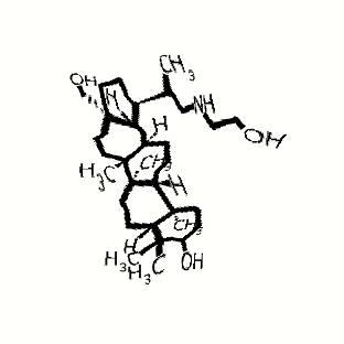 CC(CNCCO)[C@@H]1CC[C@]2(CO)CC[C@]3(C)[C@H](CC[C@@H]4[C@@]5(C)CCC(O)C(C)(C)[C@@H]5CC[C@]43C)[C@@H]12